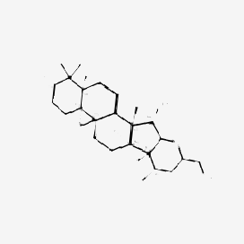 C[C@@H]1CC(CC#N)OC2[C@H]1[C@@]1(C)CC[C@@]34C[C@@]35CC[C@H](O)C(C)(C)[C@@H]5CCC4[C@]1(C)[C@H]2O